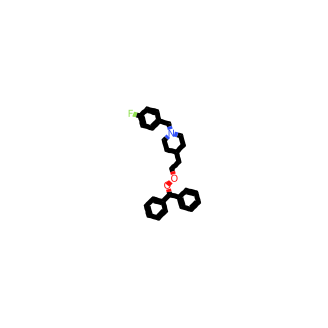 Fc1ccc(CN2CCC(CCOOC(c3ccccc3)c3ccccc3)CC2)cc1